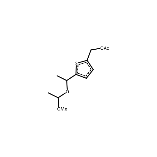 COC(C)OC(C)c1ccc(COC(C)=O)s1